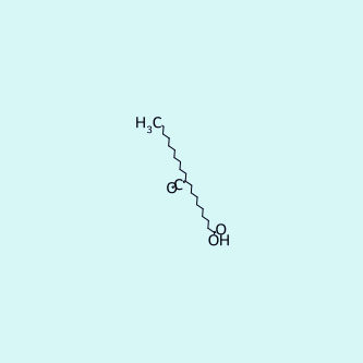 CCCCCCCCCCC(=C=O)CCCCCCCCC(=O)O